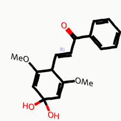 COC1=CC(O)(O)C=C(OC)C1/C=C/C(=O)c1ccccc1